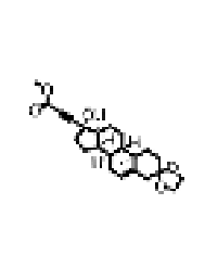 COC(=O)C#C[C@]1(O)CC[C@H]2[C@@H]3CC=C4CC5(CC[C@]4(C)[C@H]3CC[C@@]21C)OCCO5